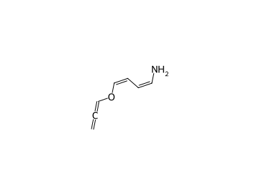 C=C=CO/C=C\C=C/N